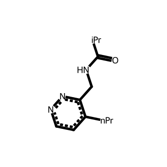 CCCc1ccnnc1CNC(=O)C(C)C